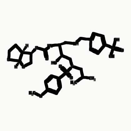 COc1ccc(S(=O)(=O)N(CC(C)C)C[C@@H](O)[C@H](CNCc2ccc(P(=O)(O)O)cc2)NC(=O)O[C@H]2CO[C@H]3OCC[C@H]32)cc1